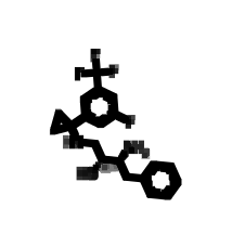 N[C@@H](Cc1ccccc1)[C@H](O)CNC1(c2cc(F)cc(C(F)(F)F)c2)CC1